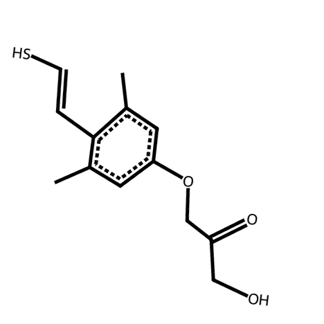 Cc1cc(OCC(=O)CO)cc(C)c1/C=C/S